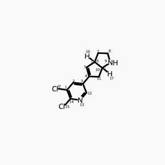 Clc1cc(C2=C[C@@H]3CCN[C@@H]3C2)cnc1Cl